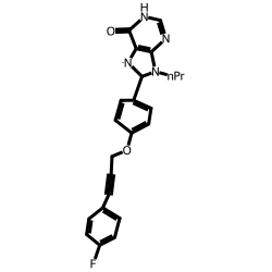 CCCN1c2nc[nH]c(=O)c2[N]C1c1ccc(OCC#Cc2ccc(F)cc2)cc1